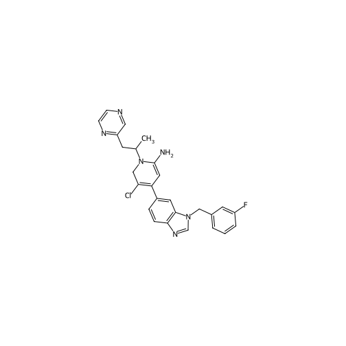 CC(Cc1cnccn1)N1CC(Cl)=C(c2ccc3ncn(Cc4cccc(F)c4)c3c2)C=C1N